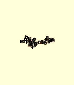 CCc1cccc2cc(O)cc(-c3ncc4c(N5CC6CCC(C5)N6)nc(NCC5(CN6CCN(CC7CCC8(CC7)CCN(C(=O)c7ccc(Cl)c(N9CCC(=O)NC9=O)c7)CC8)CC6)CC5)nc4c3F)c12